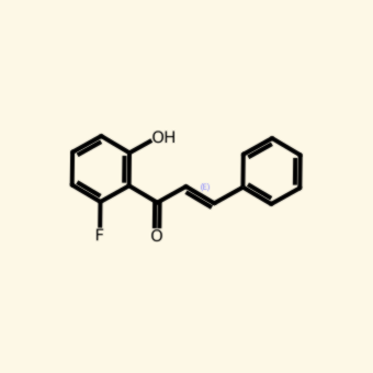 O=C(/C=C/c1ccccc1)c1c(O)cccc1F